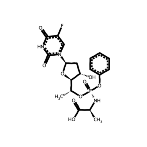 C[C@H](N[P@](=O)(Oc1ccccc1)O[C@H](C)[C@H]1O[C@@H](n2cc(F)c(=O)[nH]c2=O)C[C@@H]1O)C(=O)O